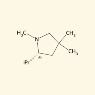 CC(C)[C@H]1CC(C)(C)CN1C